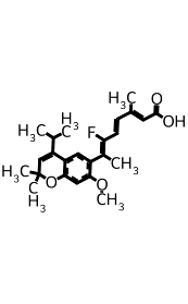 COc1cc2c(cc1C(C)=C(F)C=CC(C)=CC(=O)O)C(C(C)C)=CC(C)(C)O2